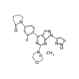 C[C@@H]1COCCN1c1nc(-c2ccc(N3CCCCC3=O)cc2F)c2cnn(-c3cc[nH]n3)c2n1